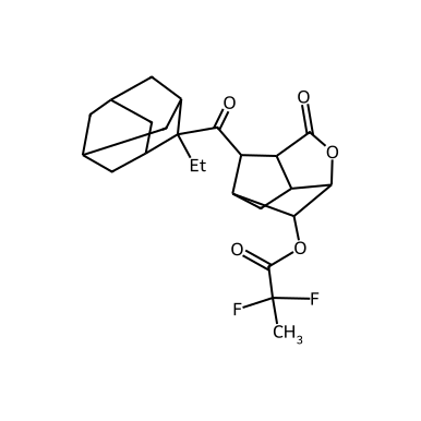 CCC1(C(=O)C2C3CC4C(OC(=O)C42)C3OC(=O)C(C)(F)F)C2CC3CC(C2)CC1C3